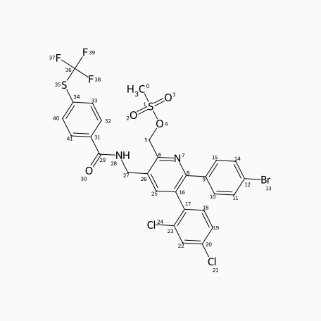 CS(=O)(=O)OCc1nc(-c2ccc(Br)cc2)c(-c2ccc(Cl)cc2Cl)cc1CNC(=O)c1ccc(SC(F)(F)F)cc1